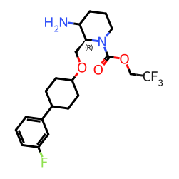 NC1CCCN(C(=O)OCC(F)(F)F)[C@H]1COC1CCC(c2cccc(F)c2)CC1